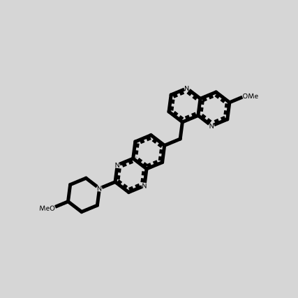 COc1cnc2c(Cc3ccc4nc(N5CCC(OC)CC5)cnc4c3)ccnc2c1